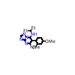 CCC(CC)Nc1c(-c2ccc(OC)cc2Cl)c(NC)nc2ncnn12